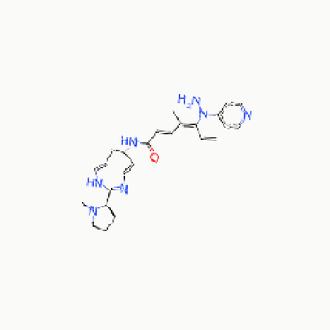 C=C/C(=C(C)\C=C\C(=O)N[C@@H]1/C=C/N=C(/[C@H]2CCCN2C)N/C=C/C1)N(N)c1ccncc1